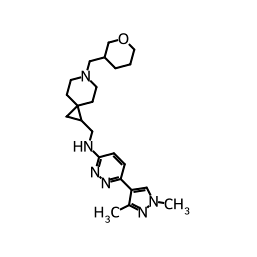 Cc1nn(C)cc1-c1ccc(NCC2CC23CCN(CC2CCCOC2)CC3)nn1